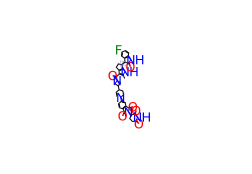 Cc1[nH]c2c(c1C(=O)N1CC(C3CCN(c4ccc5c(c4)C(=O)N(C4CCC(=O)NC4=O)C5=O)CC3)C1)CC/C2=C1/C(=O)Nc2ccc(F)cc21